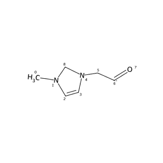 CN1C=CN(C[C]=O)C1